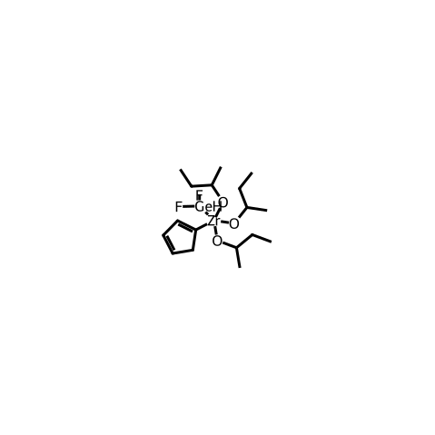 CCC(C)[O][Zr]([O]C(C)CC)([O]C(C)CC)([C]1=CC=CC1)[GeH]([F])[F]